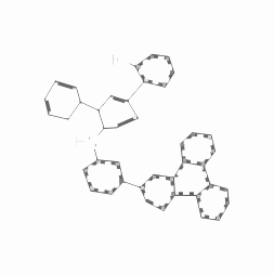 Oc1ccccc1C1=CC(C2C=CC=CC2)C(Nc2cccc(-c3ccc4c5ccccc5c5ccccc5c4c3)c2)C=C1